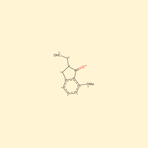 COc1cccc2c1C(=O)C(CC=O)C2